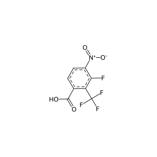 O=C(O)c1ccc([N+](=O)[O-])c(F)c1C(F)(F)F